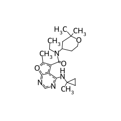 CCN(C(=O)c1c(C)oc2ncnc(NC3(C)CC3)c12)C1CCOC(C)(C)C1